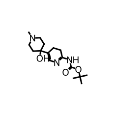 CN1CCC(O)(C2=CN=C(NC(=O)OC(C)(C)C)CC2)CC1